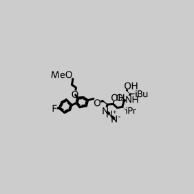 CC[C@H](C)[C@@H](CO)NC(=O)[C@@H](C[C@H](O)[C@H](COCc1ccc(-c2ccc(F)cc2)c(OCCCOC)c1)N=[N+]=[N-])C(C)C